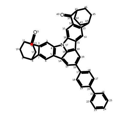 O=C1c2cc3c(cc2C2CCC1CC2)c1cc(-c2ccc(-c4ccccc4)cc2)cc2c4cc5c(cc4n3c12)C(=O)C1CCC5CC1